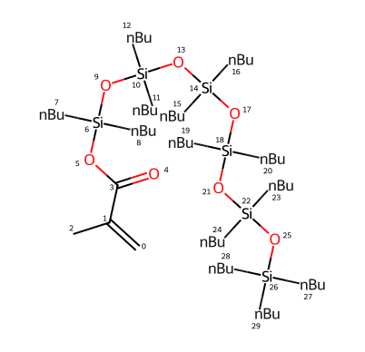 C=C(C)C(=O)O[Si](CCCC)(CCCC)O[Si](CCCC)(CCCC)O[Si](CCCC)(CCCC)O[Si](CCCC)(CCCC)O[Si](CCCC)(CCCC)O[Si](CCCC)(CCCC)CCCC